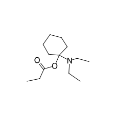 CCC(=O)OC1(N(CC)CC)CCCCC1